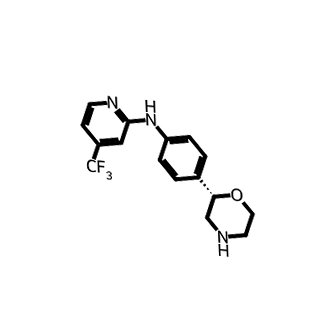 FC(F)(F)c1ccnc(Nc2ccc([C@H]3CNCCO3)cc2)c1